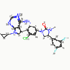 CN1C(=O)N(c2ccc(-c3cn(C4CC4)c4ncnc(N)c34)c(Cl)c2)CC1c1cc(F)cc(F)c1